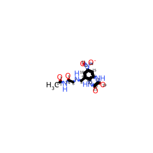 CC(=O)NC(=O)CNCc1cc([N+](=O)[O-])cc2[nH]c(=O)c(=O)[nH]c12